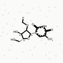 Cc1cn([C@@H]2O[C@H](CO)[C@@H](O)C2OCF)c(=O)[nH]c1=O